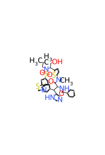 CC(C)CN(C(CO)c1ccc(N(C)C(=O)C(NC(=O)c2ccccc2)C(c2ccccc2)c2cnc[nH]2)s1)S(=O)(=O)c1ccc2ncsc2c1